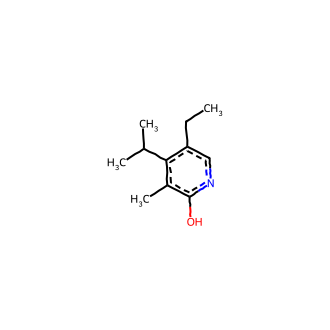 CCc1cnc(O)c(C)c1C(C)C